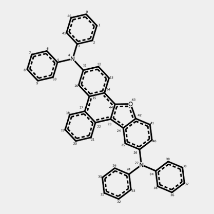 c1ccc(N(c2ccccc2)c2ccc3c(c2)c2ccccc2c2c4cc(N(c5ccccc5)c5ccccc5)ccc4oc32)cc1